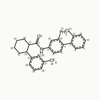 O=C(Nc1ccc(-c2ccccc2Cl)c(P)c1)C1CCCCC1c1cccc(C(F)(F)F)n1